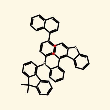 CC1(C)c2ccccc2-c2c(N(c3ccc(-c4cccc5ccccc45)cc3)c3ccccc3-c3cccc4sc5ccccc5c34)cccc21